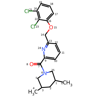 CC1CC(C)CN(C(=O)c2cccc(COc3cccc(Cl)c3Cl)n2)C1